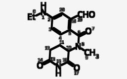 CCNc1ccc(C(=O)N(C)C2CCC(=O)NC2=O)c(C=O)c1